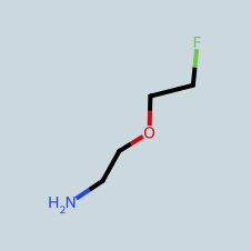 NCCOCCF